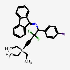 CC[Si](C#CC(F)(F)C(N=C1c2ccccc2-c2ccccc21)c1ccc(I)cc1)(CC)CC